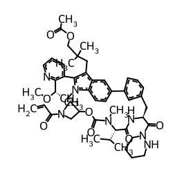 C=CC(=O)N1CC(OC(=O)N(C)[C@H](C(=O)N[C@@H](Cc2cccc(-c3ccc4c(c3)c(CC(C)(C)COC(C)=O)c(-c3cccnc3[C@H](C)OC)n4CC)c2)C(=O)N2CCCCN2)C(C)C)C1